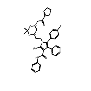 CC(C)c1c(C(=O)Nc2ccccc2)c(-c2ccccc2)c(-c2ccc(F)cc2)n1CC[C@@H]1C[C@H](CC(=O)C2=NCCC2)OC(C)(C)O1